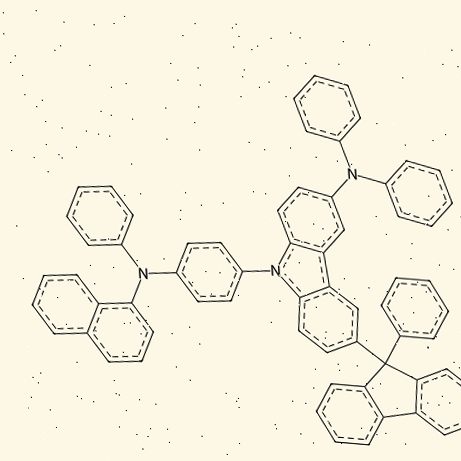 c1ccc(N(c2ccccc2)c2ccc3c(c2)c2cc(C4(c5ccccc5)c5ccccc5-c5ccccc54)ccc2n3-c2ccc(N(c3ccccc3)c3cccc4ccccc34)cc2)cc1